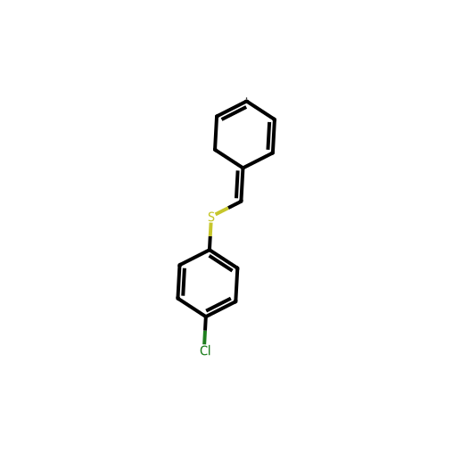 Clc1ccc(SC=C2C=C[C]=CC2)cc1